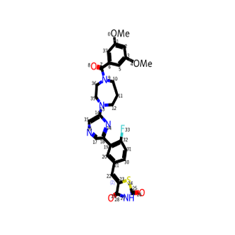 COc1cc(OC)cc(C(=O)N2CCCN(c3cncc(-c4cc(/C=C5\SC(=O)NC5=O)ccc4F)n3)CC2)c1